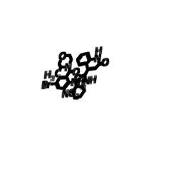 CC1COCCN1C(=O)c1cc(Br)cc([N+](=O)[O-])c1N[C@@H]1CCCC[C@@H]1NC(=O)c1cc(=O)[nH]c2ccccc12